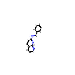 c1ccc(CNc2ccc3cccnc3n2)cc1